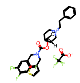 O=C(O[C@H]1C[N+]2(CCc3ccccc3)CCC1CC2)N(Cc1ccsc1)Cc1cc(F)c(F)cc1F.O=C([O-])C(F)(F)F